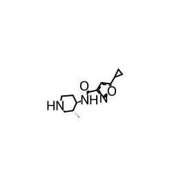 C[C@@H]1CNCC[C@H]1NC(=O)c1cc(C2CC2)on1